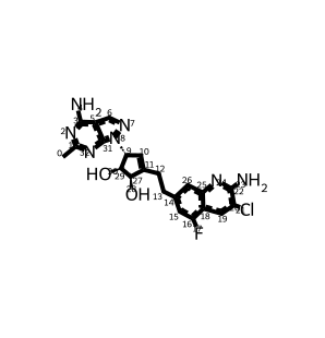 Cc1nc(N)c2cnn([C@@H]3C=C(CCc4cc(F)c5cc(Cl)c(N)nc5c4)[C@@H](O)[C@H]3O)c2n1